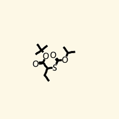 CCC(SC(=O)OC(C)C)C(=O)OC(C)(C)C